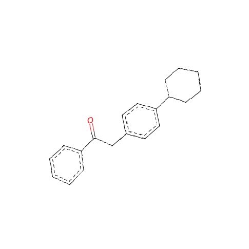 O=C(Cc1ccc(C2CCCCC2)cc1)c1ccccc1